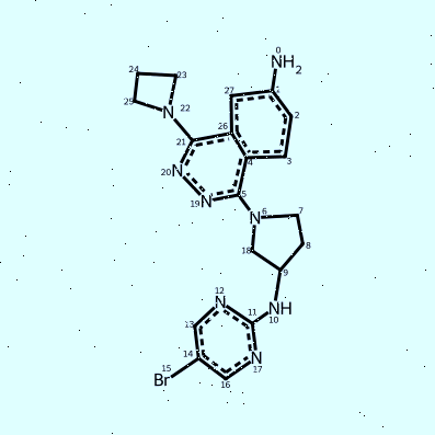 Nc1ccc2c(N3CCC(Nc4ncc(Br)cn4)C3)nnc(N3CCC3)c2c1